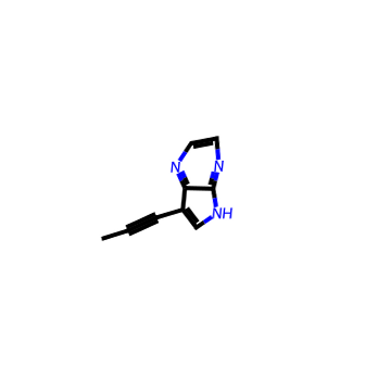 CC#Cc1c[nH]c2nccnc12